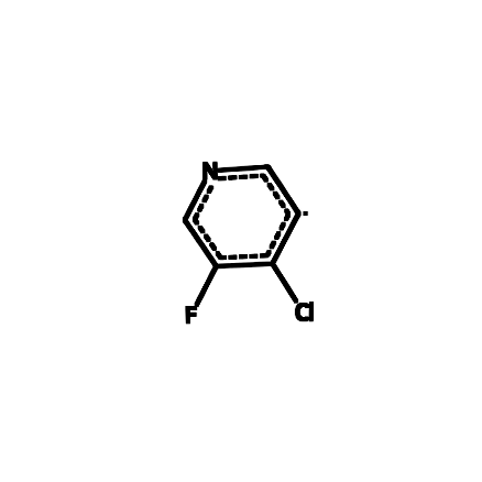 Fc1cnc[c]c1Cl